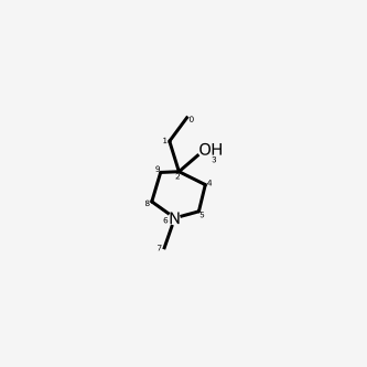 CCC1(O)CCN(C)CC1